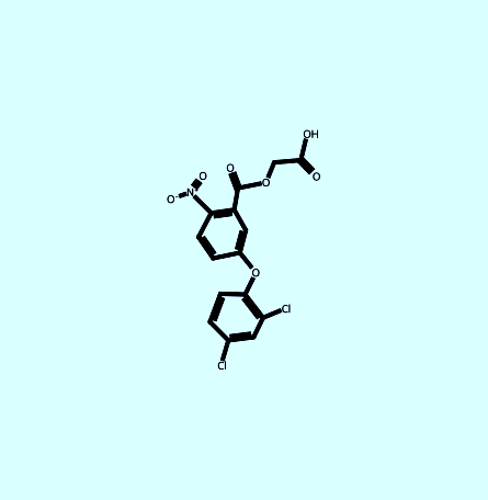 O=C(O)COC(=O)c1cc(Oc2ccc(Cl)cc2Cl)ccc1[N+](=O)[O-]